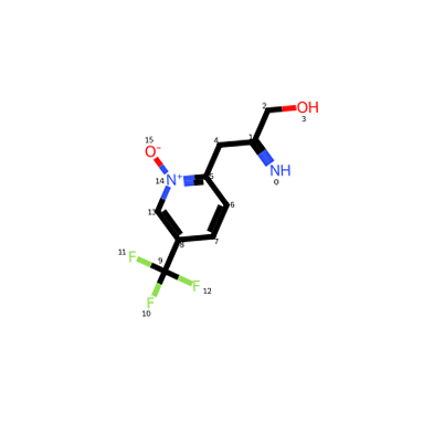 N=C(CO)Cc1ccc(C(F)(F)F)c[n+]1[O-]